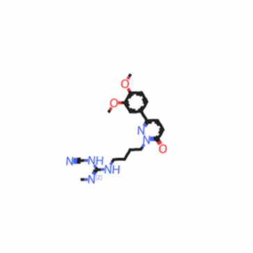 C/N=C(\NC#N)NCCCCn1nc(-c2ccc(OC)c(OC)c2)ccc1=O